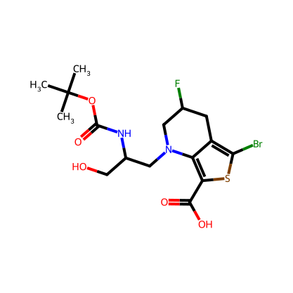 CC(C)(C)OC(=O)NC(CO)CN1CC(F)Cc2c(Br)sc(C(=O)O)c21